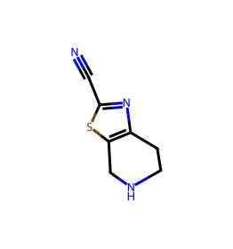 N#Cc1nc2c(s1)CNCC2